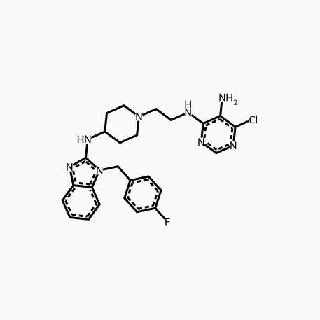 Nc1c(Cl)ncnc1NCCN1CCC(Nc2nc3ccccc3n2Cc2ccc(F)cc2)CC1